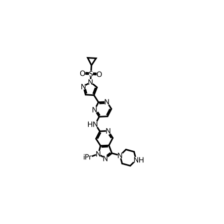 CC(C)n1nc(N2CCNCC2)c2cnc(Nc3ccnc(-c4cnn(S(=O)(=O)C5CC5)c4)n3)cc21